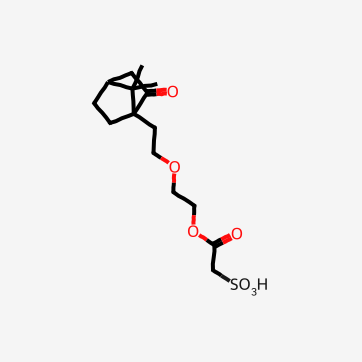 CC1(C)C2CCC1(CCOCCOC(=O)CS(=O)(=O)O)C(=O)C2